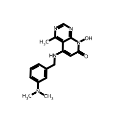 Cc1ncnc2c1c(NCc1cccc(N(C)C)c1)cc(=O)n2O